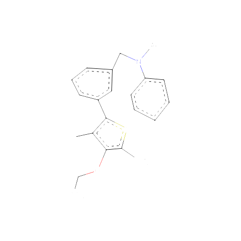 CC(=O)N(Cc1cccc(-c2sc(C(=O)O)c(OCC(=O)O)c2C)c1)c1ccccc1